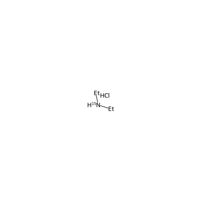 CC[15NH]CC.Cl